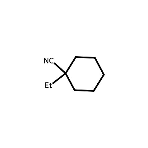 [CH2]CC1(C#N)CCCCC1